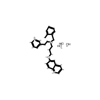 Cc1ccccc1CN(CCCOc1ccc2ncccc2c1)CCc1cccnc1.Cl.Cl.Cl